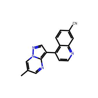 Cc1cnc2c(-c3ccnc4cc(C#N)ccc34)cnn2c1